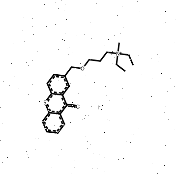 CC[N+](C)(CC)CCCOCc1ccc2sc3ccccc3c(=O)c2c1.[I-]